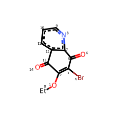 CCOC1=C(Br)C(=O)c2ncccc2C1=O